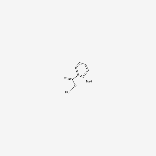 O=C(OO)c1ccccc1.[NaH]